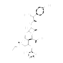 CCOP(=O)(O)CC(Sc1nnn[nH]1)C1=C(C(=O)O)N2C(=O)[C@@H](NC(=O)C(N)c3ccc(O)cc3)[C@@H]2SC1